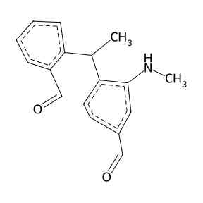 CNc1cc(C=O)ccc1C(C)c1ccccc1C=O